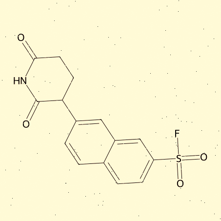 O=C1CCC(c2ccc3ccc(S(=O)(=O)F)cc3c2)C(=O)N1